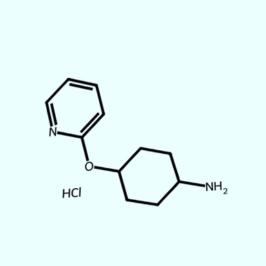 Cl.NC1CCC(Oc2ccccn2)CC1